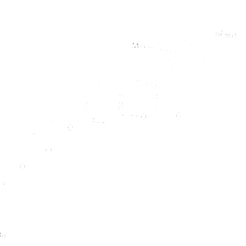 CCCCCc1ccc(-c2cc3ccc(OCC(C)(COC(=O)CCC(C)(C)C)C(F)(F)F)cc3oc2=O)c(OC)c1